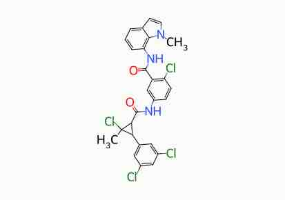 Cn1ccc2cccc(NC(=O)c3cc(NC(=O)C4C(c5cc(Cl)cc(Cl)c5)C4(C)Cl)ccc3Cl)c21